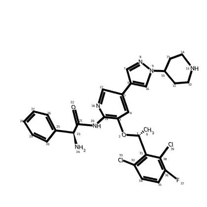 C[C@@H](Oc1cc(-c2cnn(C3CCNCC3)c2)cnc1NC(=O)[C@@H](N)c1ccccc1)c1c(Cl)ccc(F)c1Cl